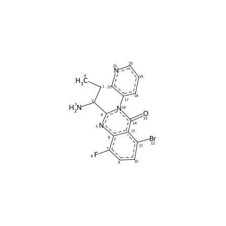 CCC(N)c1nc2c(F)ccc(Br)c2c(=O)n1-c1cccnc1